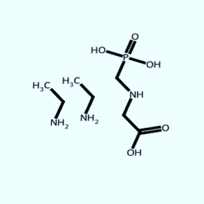 CCN.CCN.O=C(O)CNCP(=O)(O)O